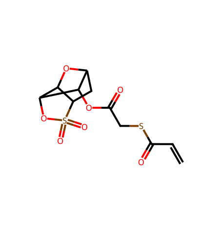 C=CC(=O)SCC(=O)OC1C2CC3C(O2)C1OS3(=O)=O